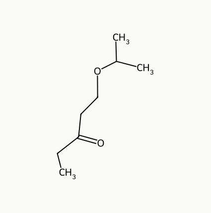 CCC(=O)CCOC(C)C